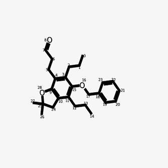 CCCc1c(CCC=O)c2c(c(CCC)c1OCc1ccccc1)CC(C)(C)O2